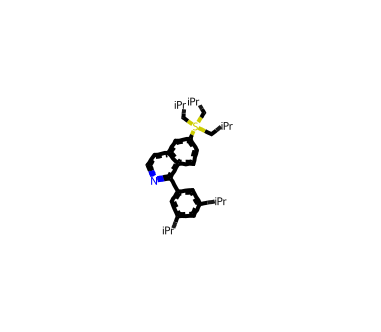 CC(C)CS(CC(C)C)(CC(C)C)c1ccc2c(-c3cc(C(C)C)cc(C(C)C)c3)nccc2c1